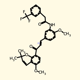 COc1ccc(/C=C/C(=O)c2ccc(OC)c3c2OC(C)(C)C=C3)cc1NC(=O)Cc1cccc(C(F)(F)F)c1